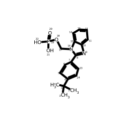 CC(C)(C)c1ccc(-c2nc3ccccc3n2COP(=O)(O)O)cc1